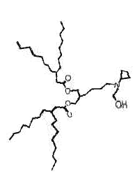 CCCCCCCCC(CCCCCCCC)CC(=O)OCC(CCCCN(CCO)C1CCC1)COC(=O)CC(CCCCCCCC)CCCCCCCC